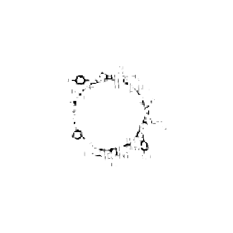 CCC[C@@H]1NC(=O)[C@H](C)NC(=O)[C@H]([C@@H](C)O)NC(=O)[C@@H]2CCCN2C(=O)[C@H](Cc2ccc(O)cc2)NC(=O)[C@H](C(C)(C)C)NC(=O)CCSCc2cccc(c2)CSC[C@@H](C(N)=O)NC(=O)[C@H]([C@@H](C)O)NC(=O)[C@H](CCC)NC(=O)[C@H](Cc2ccc(O)cc2)NC(=O)[C@H](CCC(=O)O)NC1=O